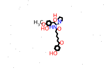 COc1ccc([C@@H](O)[C@@H](CN2CCCC2)NC(=O)CCCCCC(=O)c2ccc(O)cc2)cc1O